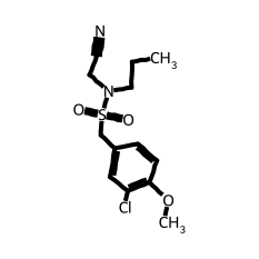 CCCN(CC#N)S(=O)(=O)Cc1ccc(OC)c(Cl)c1